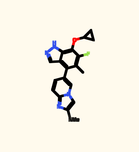 CNc1cn2cc(-c3c(C)c(F)c(OC4CC4)c4[nH]ncc34)ccc2n1